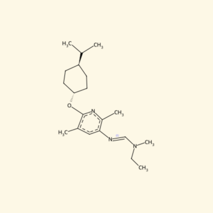 CCN(C)/C=N/c1cc(C)c(O[C@H]2CC[C@H](C(C)C)CC2)nc1C